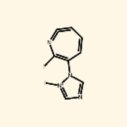 IC1=C(n2cnc[n+]2I)C=CC=C=N1